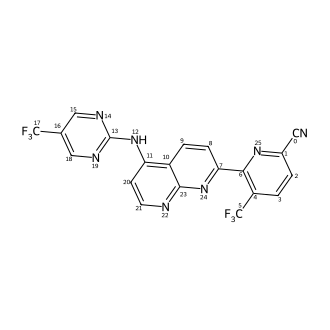 N#Cc1ccc(C(F)(F)F)c(-c2ccc3c(Nc4ncc(C(F)(F)F)cn4)ccnc3n2)n1